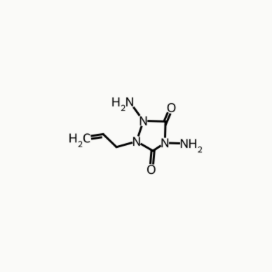 C=CCn1c(=O)n(N)c(=O)n1N